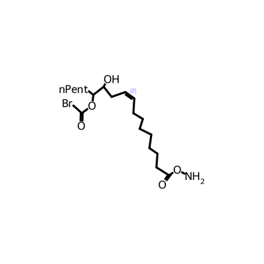 CCCCCC(OC(=O)Br)C(O)C/C=C\CCCCCCCC(=O)ON